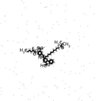 C=C(C)C(=O)OCCCCCCCCCCC1(C=Cc2cc([N+](=O)[O-])c(OC(=O)[C@H](F)CCCC)cc2N)C=CC(C(=O)O)=C(c2ccccc2)C1